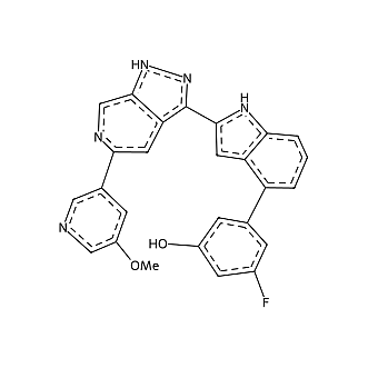 COc1cncc(-c2cc3c(-c4cc5c(-c6cc(O)cc(F)c6)cccc5[nH]4)n[nH]c3cn2)c1